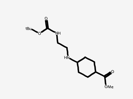 COC(=O)C1CCC(NCCNC(=O)OC(C)(C)C)CC1